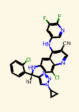 [2H][C@@](Nc1cc(Cl)c2ncc(C#N)c(Nc3cnc(F)c(F)c3)c2c1)(c1cn(C2CC2)nn1)c1ccccc1Cl